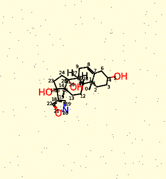 C[C@]12CCC(O)CC1=CC[C@@H]1[C@H]2CC[C@]2(C)C(O)(c3cnoc3)CC[C@@]12O